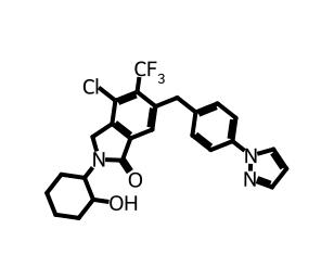 O=C1c2cc(Cc3ccc(-n4cccn4)cc3)c(C(F)(F)F)c(Cl)c2CN1C1CCCCC1O